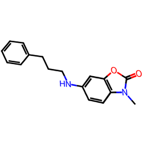 Cn1c(=O)oc2cc(NCCCc3ccccc3)ccc21